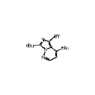 CC(C)c1nc(C(C)(C)C)n2nccc(C(C)(C)C)c12